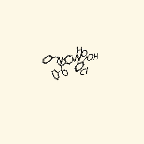 O=C(O)c1cc(Cl)ccc1Nc1ccc2c(c1)c(C(=O)c1ccccc1)cn2Cc1ccccc1